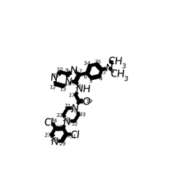 CN(C)c1ccc(-c2nc3cnccn3c2NCC(=O)N2CCN(c3c(Cl)cncc3Cl)CC2)cc1